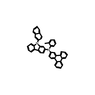 Cc1ccccc1N(c1ccc2c3ccccc3c3ccccc3c2c1)c1ccc2c3ccccc3n(-c3ccc4ccccc4c3)c2c1